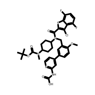 COc1ccc(-c2ccnc(NC(=O)O)c2)cc1CN(C(=O)c1sc2c(F)ccc(F)c2c1Cl)C1CCC(N(C)C(=O)OC(C)(C)C)CC1